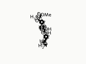 COC(=O)CN(C)C(=O)c1cccc(N2CCO[C@H]([C@@H](O)C(=O)Nc3ccc(CNC(=O)ON)cc3)C2=O)c1